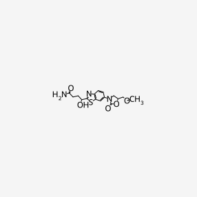 COCC1CN(c2ccc3nc(C(O)CCC(N)=O)sc3c2)C(=O)O1